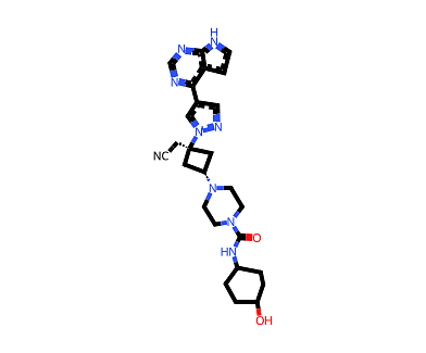 N#CC[C@]1(n2cc(-c3ncnc4[nH]ccc34)cn2)C[C@H](N2CCN(C(=O)NC3CCC(O)CC3)CC2)C1